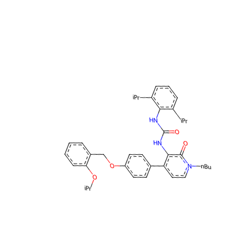 CCCCn1ccc(-c2ccc(OCc3ccccc3OC(C)C)cc2)c(NC(=O)Nc2c(C(C)C)cccc2C(C)C)c1=O